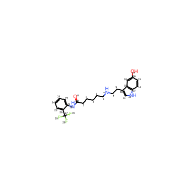 O=C(CCCCCNCCc1c[nH]c2ccc(O)cc12)Nc1ccccc1C(F)(F)F